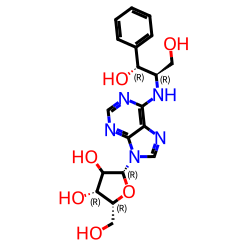 OC[C@@H](Nc1ncnc2c1ncn2[C@@H]1O[C@H](CO)[C@H](O)C1O)[C@H](O)c1ccccc1